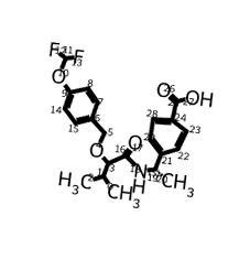 CC(C)C(OCc1ccc(OC(F)F)cc1)C(=O)N[C@@H](C)c1ccc(C(=O)O)cc1